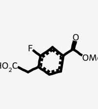 COC(=O)c1ccc(CC(=O)O)c(F)c1